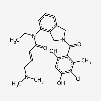 CCN(C(=O)/C=C/CN(C)C)c1cccc2c1CN(C(=O)c1c(O)cc(O)c(Cl)c1C)C2